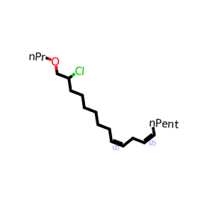 CCCCC/C=C\C/C=C\CCCCCCC(Cl)COCCC